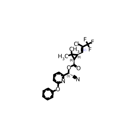 CC1(C)[C@H](C(=O)O[C@H](C#N)c2cccc(Oc3ccccc3)n2)[C@@H]1/C=C(\Cl)C(F)(F)F